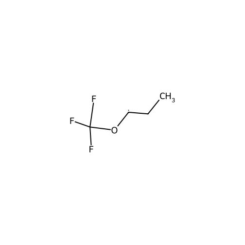 CC[CH]OC(F)(F)F